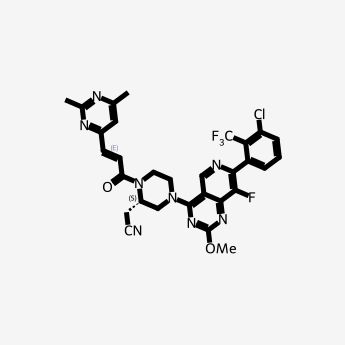 COc1nc(N2CCN(C(=O)/C=C/c3cc(C)nc(C)n3)[C@@H](CC#N)C2)c2cnc(-c3cccc(Cl)c3C(F)(F)F)c(F)c2n1